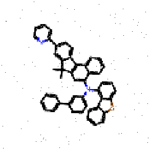 CC1(C)c2cc(-c3ccccn3)ccc2-c2c1cc(N(c1cccc(-c3ccccc3)c1)c1cccc3sc4ccccc4c13)c1ccccc21